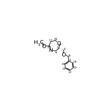 COC1=NC[C@@H](COCc2ccccc2)OCC1